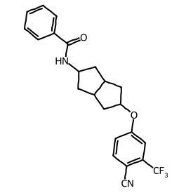 N#Cc1ccc(OC2CC3CC(NC(=O)c4ccccc4)CC3C2)cc1C(F)(F)F